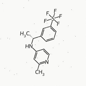 Cc1cc(N[C@H](C)c2cccc(S(F)(F)(F)(F)F)c2)ccn1